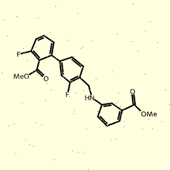 COC(=O)c1cccc(NCc2ccc(-c3cccc(F)c3C(=O)OC)cc2F)c1